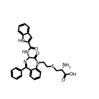 N[C@@H](CSCCN1C(=O)[C@H](NC(=O)c2cc3ccccc3[nH]2)N=C(c2ccccc2)c2ccccc21)C(=O)O